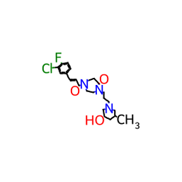 CC1CC(O)CN(CCCN2CCN(C(=O)/C=C/c3ccc(F)c(Cl)c3)CCC2=O)C1